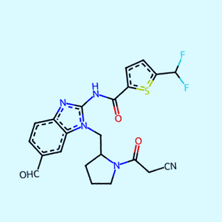 N#CCC(=O)N1CCCC1Cn1c(NC(=O)c2ccc(C(F)F)s2)nc2ccc(C=O)cc21